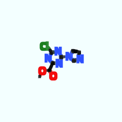 COC(=O)c1nc(Cl)nc(-n2ccnc2)n1